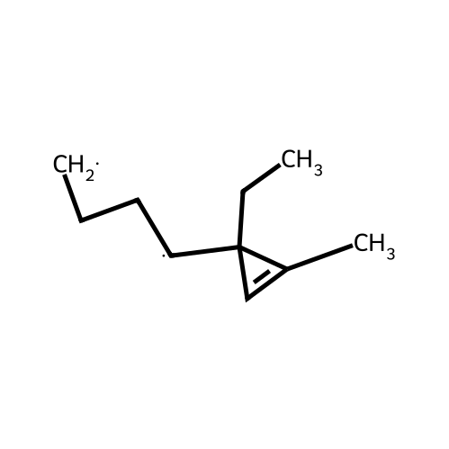 [CH2]CC[CH]C1(CC)C=C1C